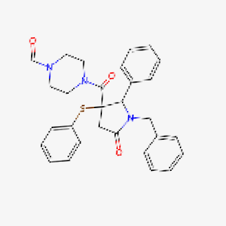 O=CN1CCN(C(=O)C2(Sc3ccccc3)CC(=O)N(Cc3ccccc3)C2c2ccccc2)CC1